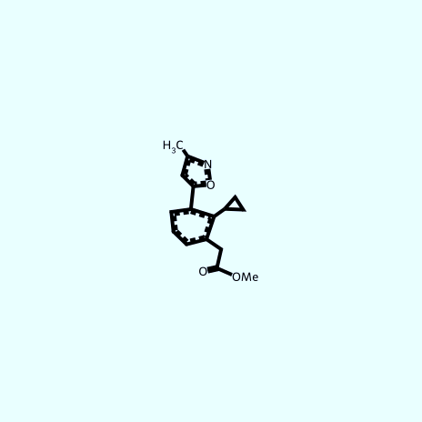 COC(=O)Cc1cccc(-c2cc(C)no2)c1C1CC1